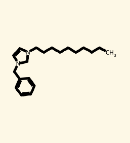 CCCCCCCCCCN1C=CN(Cc2ccccc2)C1